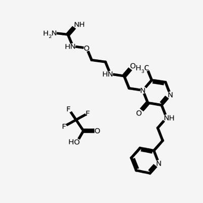 Cc1cnc(NCCc2ccccn2)c(=O)n1CC(=O)NCCONC(=N)N.O=C(O)C(F)(F)F